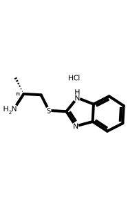 C[C@@H](N)CSc1nc2ccccc2[nH]1.Cl